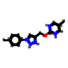 Cc1ccc(-n2cc(COc3ncc(C)cn3)nn2)cc1